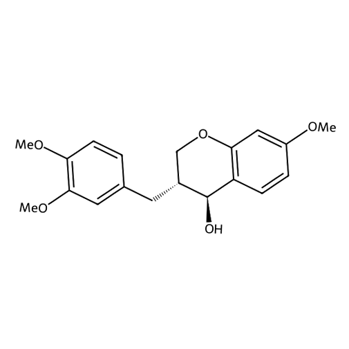 COc1ccc2c(c1)OC[C@@H](Cc1ccc(OC)c(OC)c1)[C@@H]2O